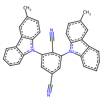 Cc1ccc2c(c1)c1ccccc1n2-c1cc(C#N)cc(-n2c3ccccc3c3cc(C)ccc32)c1C#N